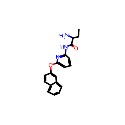 CCC(N)C(=O)Nc1cccc(Oc2ccc3ccccc3c2)n1